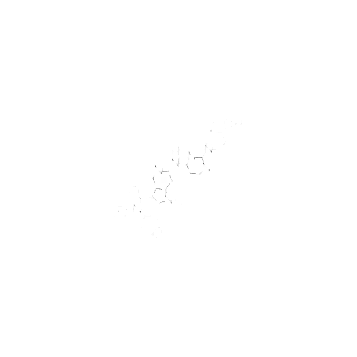 CC(C)N(C(=O)c1c[nH]c2cc(Nc3ccnc(N4CCC(O)C(C)(C)C4)n3)ncc12)C1CCOCC1